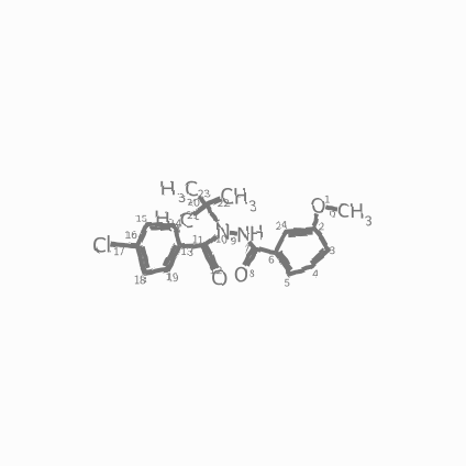 COc1cccc(C(=O)NN(C(=O)c2ccc(Cl)cc2)C(C)(C)C)c1